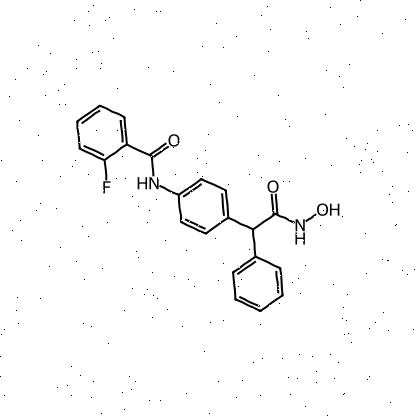 O=C(Nc1ccc(C(C(=O)NO)c2ccccc2)cc1)c1ccccc1F